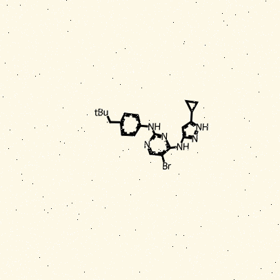 CC(C)(C)[CH]c1ccc(Nc2ncc(Br)c(Nc3cc(C4CC4)[nH]n3)n2)cc1